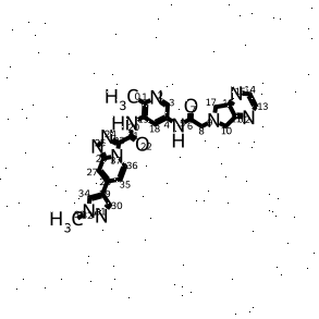 Cc1ncc(NC(=O)CN2Cc3nccnc3C2)cc1NC(=O)c1nnc2cc(-c3cnn(C)c3)ccn12